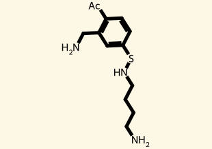 CC(=O)c1ccc(SNCCCCN)cc1CN